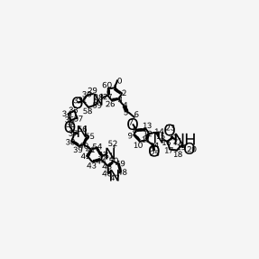 Cc1cc(C#CCOc2ccc3c(c2)CN(C2CCC(=O)NC2=O)C3=O)cc(N2CCC(O[C@H]3C[C@H](Oc4ccc(-c5ccc6c7cnccc7n(C)c6c5)cn4)C3)CC2)c1